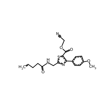 C=CCCC(=O)NCc1nc(-c2ccc(OC)cc2)c(C(=O)OCC#N)s1